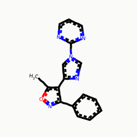 Cc1onc(-c2ccccc2)c1-c1cn(-c2ncccn2)cn1